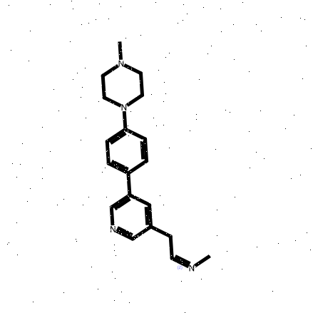 C/N=C\Cc1cncc(-c2ccc(N3CCN(C)CC3)cc2)c1